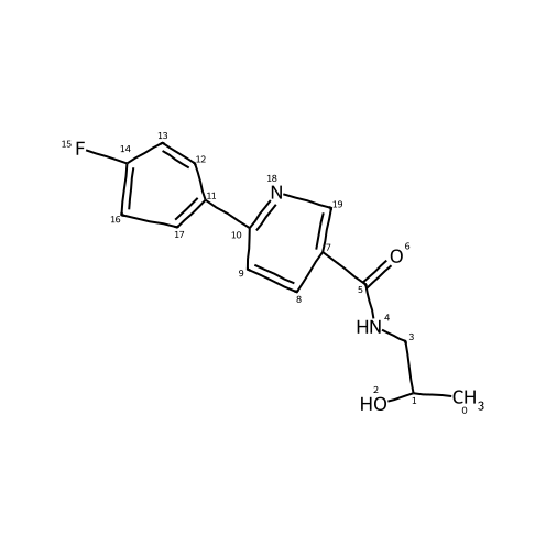 CC(O)CNC(=O)c1ccc(-c2ccc(F)cc2)nc1